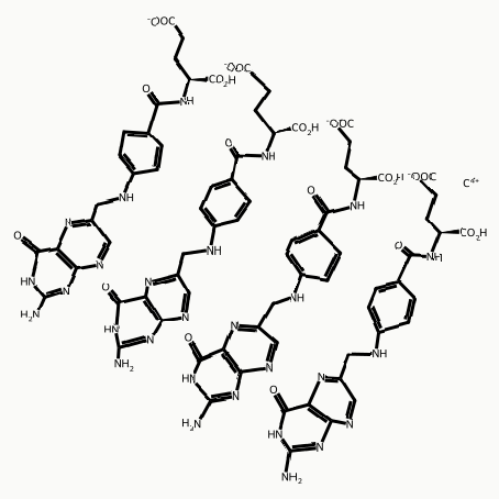 Nc1nc2ncc(CNc3ccc(C(=O)N[C@@H](CCC(=O)[O-])C(=O)O)cc3)nc2c(=O)[nH]1.Nc1nc2ncc(CNc3ccc(C(=O)N[C@@H](CCC(=O)[O-])C(=O)O)cc3)nc2c(=O)[nH]1.Nc1nc2ncc(CNc3ccc(C(=O)N[C@@H](CCC(=O)[O-])C(=O)O)cc3)nc2c(=O)[nH]1.Nc1nc2ncc(CNc3ccc(C(=O)N[C@@H](CCC(=O)[O-])C(=O)O)cc3)nc2c(=O)[nH]1.[C+4]